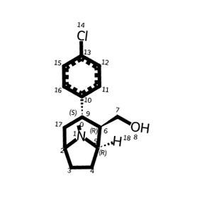 CN1C2CC[C@@H]1[C@H](CO)[C@@H](c1ccc(Cl)cc1)C2